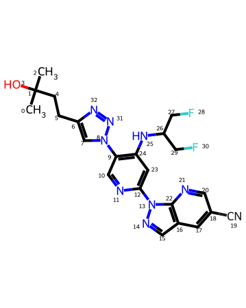 CC(C)(O)CCc1cn(-c2cnc(-n3ncc4cc(C#N)cnc43)cc2NC(CF)CF)nn1